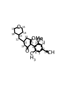 C#Cc1cc(C)c(C2=C(OC)CC(CC3CCOCC3)CC2=O)c(C)c1